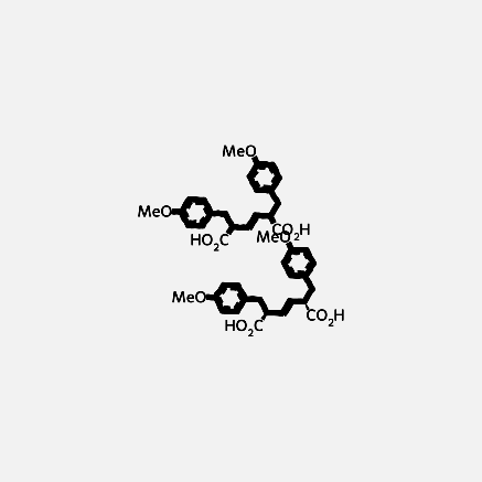 COc1ccc(CC(C=CC(Cc2ccc(OC)cc2)C(=O)O)C(=O)O)cc1.COc1ccc(C[C@@H](/C=C/[C@H](Cc2ccc(OC)cc2)C(=O)O)C(=O)O)cc1